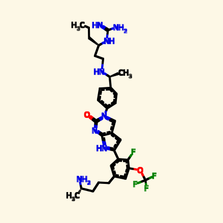 CCC[C@H](CCN[C@@H](C)c1ccc(-n2cc3cc(-c4cc(CCC[C@H](C)N)cc(OC(F)(F)F)c4F)[nH]c3nc2=O)cc1)NC(=N)N